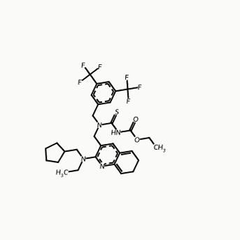 CCOC(=O)NC(=S)N(Cc1cc(C(F)(F)F)cc(C(F)(F)F)c1)Cc1cc2c(nc1N(CC)CC1CCCC1)=CCCC=2